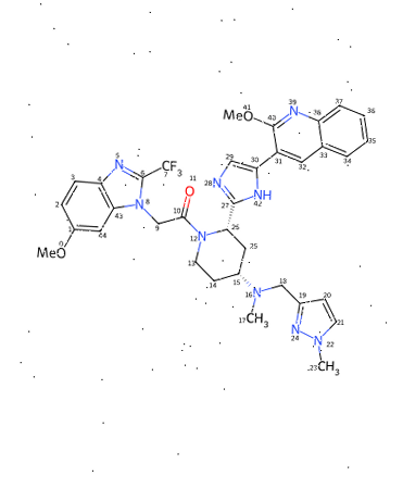 COc1ccc2nc(C(F)(F)F)n(CC(=O)N3CC[C@@H](N(C)Cc4ccn(C)n4)C[C@H]3c3ncc(-c4cc5ccccc5nc4OC)[nH]3)c2c1